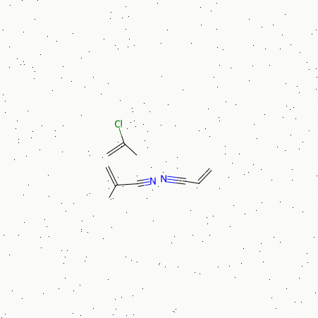 C=C(C)C#N.C=C(C)Cl.C=CC#N